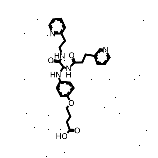 O=C(O)CCCOc1ccc(NC(NC(=O)CCc2cccnc2)C(=O)NCCc2ccccn2)cc1